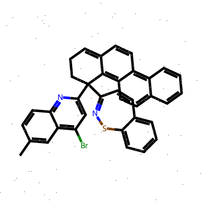 Cc1ccc2nc(C3(C4=NSc5ccccc5C=C4)CCC=c4ccc5c(c43)CC=c3ccccc3=5)cc(Br)c2c1